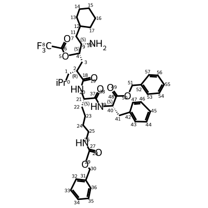 CC(C)C[C@H](C[C@H](OC(=O)C(F)(F)F)[C@@H](N)CC1CCCCC1)C(=O)N[C@@H](CCCCNC(=O)OCc1ccccc1)C(=O)N[C@@H](Cc1ccccc1)C(=O)OCc1ccccc1